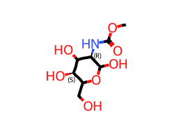 COC(=O)N[C@H]1C(O)OC(CO)[C@@H](O)C1O